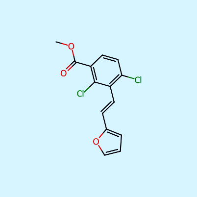 COC(=O)c1ccc(Cl)c(C=Cc2ccco2)c1Cl